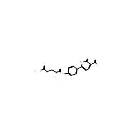 NC(=O)CC[C@@H](N)C(=O)Nc1ccc(-c2ccc(C(=O)O)c(=O)[nH]2)cc1